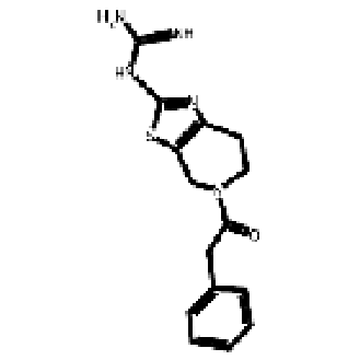 N=C(N)Nc1nc2c(s1)CN(C(=O)Cc1ccccc1)CC2